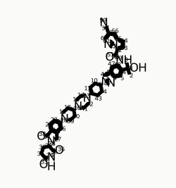 CC(C)(O)c1cc2nn([C@H]3CC[C@H](N4CCN(C5CCN(c6ccc7c(c6)CN(C6CCC(=O)NC6=O)C7=O)CC5)CC4)CC3)cc2cc1NC(=O)c1ccc2cc(C#N)cnn12